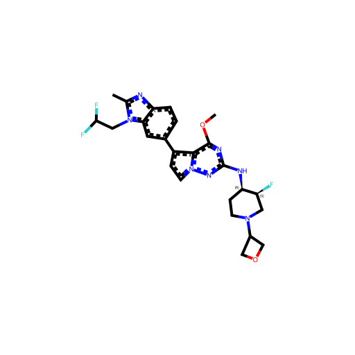 COc1nc(N[C@@H]2CCN(C3COC3)C[C@@H]2F)nn2ccc(-c3ccc4nc(C)n(CC(F)F)c4c3)c12